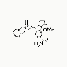 COC1(c2ccnc(C(N)=O)c2)C(C)CCCC1CN(C)CC1(O)Cc2ccccc2C1